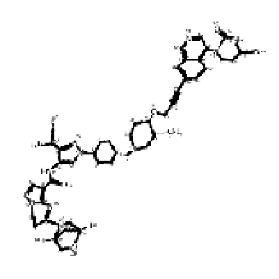 C[C@@H]1CN(C[C@H]2CC[C@H](n3cc(NC(=O)c4cnn5ccc(N6C[C@H]7C[C@@H]6CO7)nc45)c(C(F)F)n3)CC2)CC[C@H]1OCC#Cc1ccc2c(N3CCC(=O)NC3=O)cncc2c1